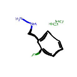 Cl.Cl.NNCc1ccccc1F